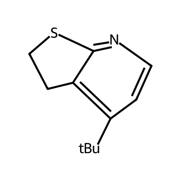 CC(C)(C)c1ccnc2c1CCS2